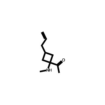 C=CCC1CC(NC)(C(C)=O)C1